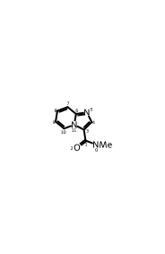 CNC(=O)c1cnc2ccccn12